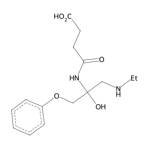 CCNCC(O)(COc1ccccc1)NC(=O)CCC(=O)O